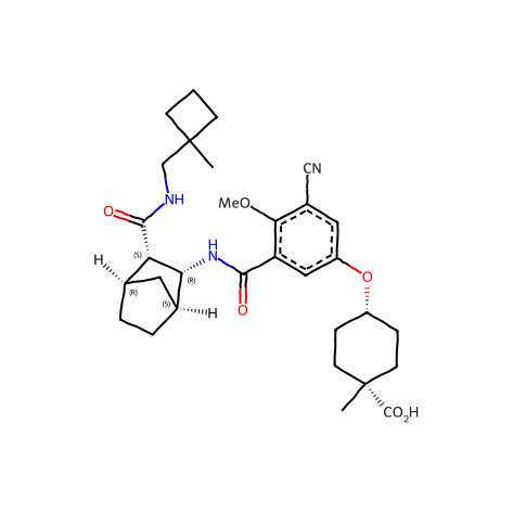 COc1c(C#N)cc(O[C@H]2CC[C@@](C)(C(=O)O)CC2)cc1C(=O)N[C@@H]1[C@H]2CC[C@H](C2)[C@@H]1C(=O)NCC1(C)CCC1